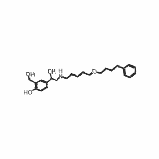 OCc1cc(C(O)CNCCCCCOCCCCc2ccccc2)ccc1O